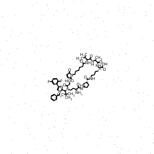 CC(C)[C@H](NC(=O)CCCCCN1C(=O)C=CC1=O)C(=O)N[C@@H](C)C(=O)N[C@@H](CCCCNC(=O)[C@@H]1CC[C@H](NC(=O)[C@@H](N)CCN(C(=O)CO)[C@@H](c2nc(-c3cc(F)ccc3F)cn2Cc2ccccc2)C(C)(C)C)C1)C(=O)O